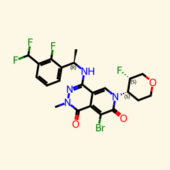 C[C@@H](Nc1nn(C)c(=O)c2c(Br)c(=O)n([C@H]3CCOC[C@H]3F)cc12)c1cccc(C(F)F)c1F